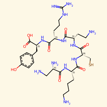 N=C(N)NCCC[C@H](NC(=O)[C@H](CCN)NC(=O)[C@H](CS)NC(=O)[C@H](CCCCN)NC(=O)[C@@H](N)CN)C(=O)N[C@@H](Cc1ccc(O)cc1)C(=O)O